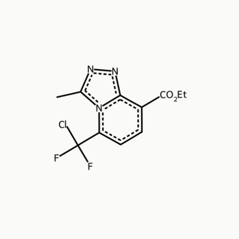 CCOC(=O)c1ccc(C(F)(F)Cl)n2c(C)nnc12